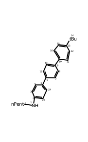 CCCCCNc1ccc(-c2ccc(-c3ccc(C(C)(C)C)cc3)cc2)cc1